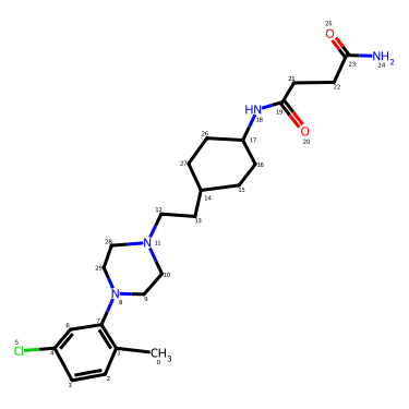 Cc1ccc(Cl)cc1N1CCN(CCC2CCC(NC(=O)CCC(N)=O)CC2)CC1